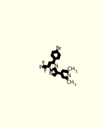 Cc1cc(-c2cnn3c(C(F)(F)F)cc(-c4ccc(Br)cc4)nc23)cc(C)n1